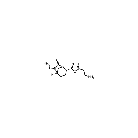 CCCCON1C(=O)N2C[C@@H]1CC[C@H]2c1nnc(CCN)o1